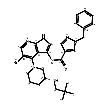 CC(C)(C)CN[C@@H]1CCCN(c2c(Br)cnc3[nH]cc(NC(=O)c4cnn(Cc5ccccc5)c4)c23)C1